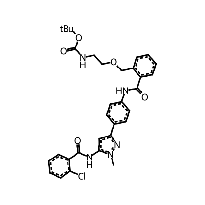 Cn1nc(-c2ccc(NC(=O)c3ccccc3COCCNC(=O)OC(C)(C)C)cc2)cc1NC(=O)c1ccccc1Cl